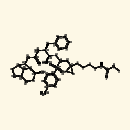 COC(=O)NCCCCC1(CN(C[C@@H](O)[C@H](Cc2ccccc2)NC(=O)OC2C3COC4OC[C@H]2CC43)S(=O)(=O)c2ccc(N)cc2)CC1